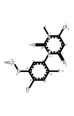 Cn1c(C(F)(F)F)cc(=O)n(-c2cc(OC(=O)O)c(Cl)cc2F)c1=O